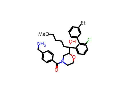 CCc1cccc(-c2c(Cl)cccc2[C@](O)(CCCCOC)C2CN(C(=O)c3ccc(CN)cc3)CCO2)c1